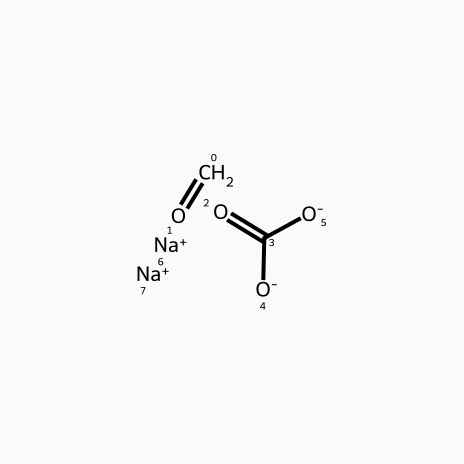 C=O.O=C([O-])[O-].[Na+].[Na+]